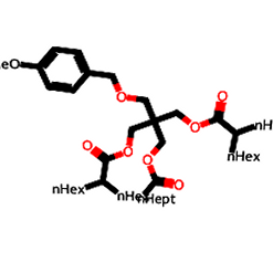 CCCCCCCC(=O)OCC(COCc1ccc(OC)cc1)(COC(=O)C(CCCCCC)CCCCCC)COC(=O)C(CCCCCC)CCCCCC